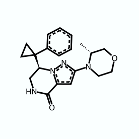 C[C@@H]1COCCN1c1cc2n(n1)[C@H](C1(c3ccccc3)CC1)CNC2=O